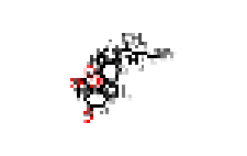 CC(C)CCC[C@@H](C)[C@H]1CC[C@@H]2[C@]1(C)CC[C@@]13O[C@@]21OC(=O)[C@H]1CC(=O)CC[C@@]13C